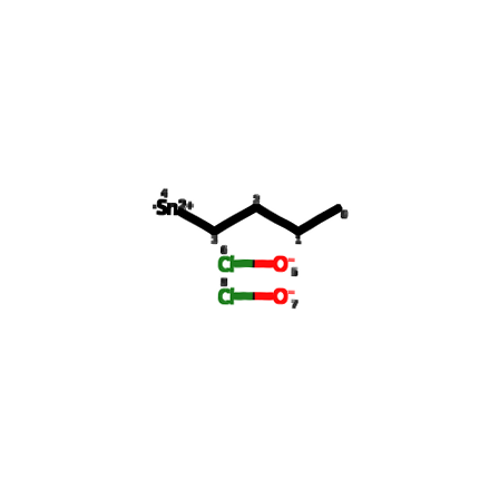 CCC[CH2][Sn+2].[O-]Cl.[O-]Cl